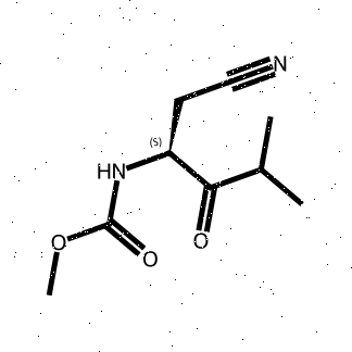 COC(=O)N[C@@H](CC#N)C(=O)C(C)C